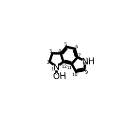 ON1CCc2ccc3[nH]ccc3c21